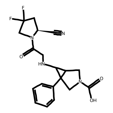 N#C[C@@H]1CC(F)(F)CN1C(=O)CNC1C2CN(C(=O)O)CC21c1ccccc1